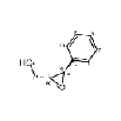 OC[C@H]1O[C@@H]1c1ccccc1